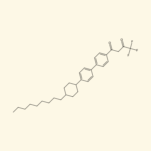 CCCCCCCCCC1CCC(c2ccc(-c3ccc(C(=O)CC(=O)C(F)(F)F)cc3)cc2)CC1